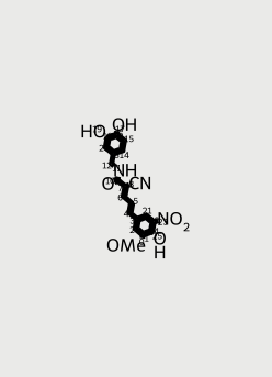 COc1cc(/C=C/C=C(\C#N)C(=O)NCc2ccc(O)c(O)c2)cc([N+](=O)[O-])c1O